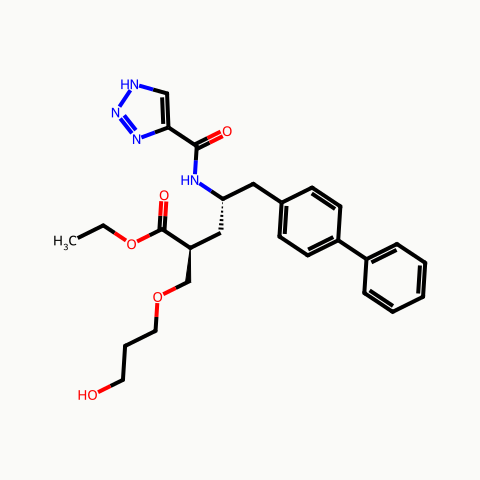 CCOC(=O)[C@H](COCCCO)C[C@@H](Cc1ccc(-c2ccccc2)cc1)NC(=O)c1c[nH]nn1